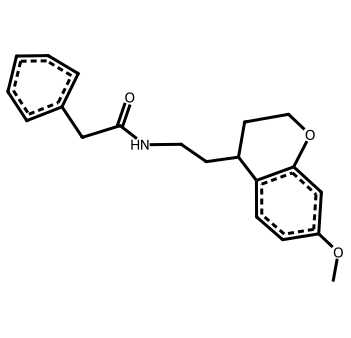 COc1ccc2c(c1)OCCC2CCNC(=O)Cc1ccccc1